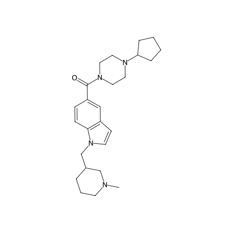 CN1CCCC(Cn2ccc3cc(C(=O)N4CCN(C5CCCC5)CC4)ccc32)C1